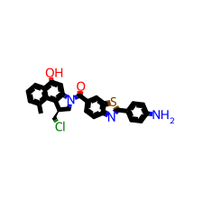 Cc1cccc2c(O)cc3c(c12)[C@H](CCl)CN3C(=O)c1ccc2nc(-c3ccc(N)cc3)sc2c1